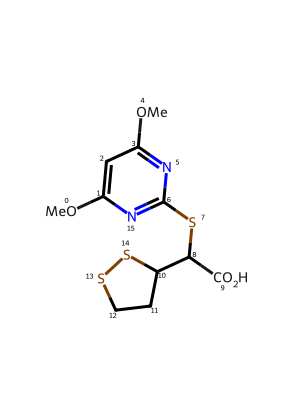 COc1cc(OC)nc(SC(C(=O)O)C2CCSS2)n1